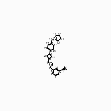 N#Cc1cccc(COCC2CC(c3ccc(CN4CCCC4)cc3)C2)c1